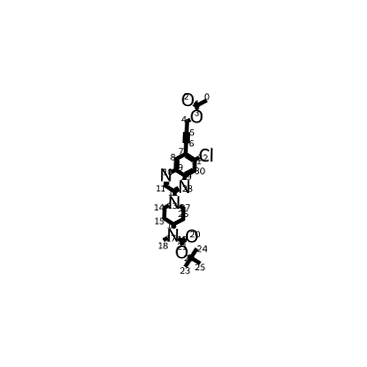 CC(=O)OCC#Cc1cc2ncc(N3CCC(N(C)C(=O)OC(C)(C)C)CC3)nc2cc1Cl